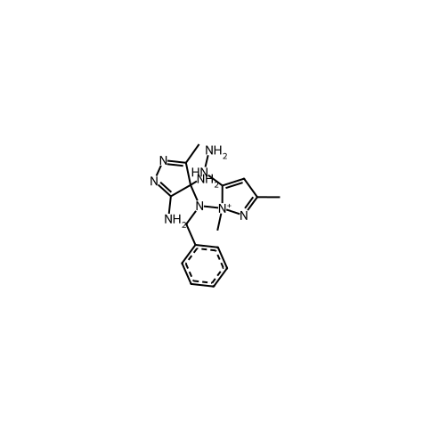 CC1=N[N+](C)(N(Cc2ccccc2)C2(N)C(C)=NN=C2N)C(NN)=C1